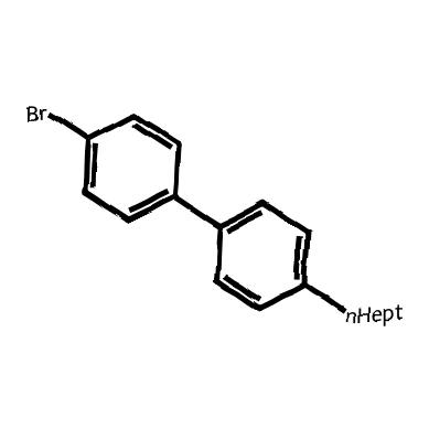 CCCCCCCc1ccc(-c2ccc(Br)cc2)cc1